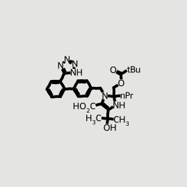 CCCC1(COC(=O)C(C)(C)C)NC(C(C)(C)O)=C(C(=O)O)N1Cc1ccc(-c2ccccc2-c2nnn[nH]2)cc1